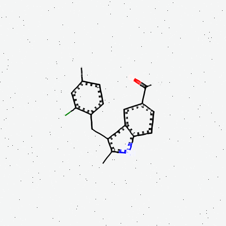 COC(=O)c1ccc2[nH]c(C)c(Cc3ccc(C(F)(F)F)cc3Cl)c2c1